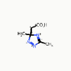 CC1=NC(C)(CC(=O)O)N=N1